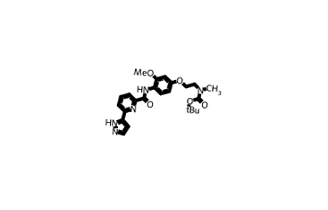 COc1cc(OCCN(C)C(=O)OC(C)(C)C)ccc1NC(=O)c1cccc(-c2ccn[nH]2)n1